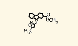 COC(=O)c1ccc2c3ccccc3n(Cc3cc(C)on3)c2c1